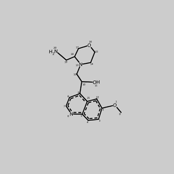 COc1ccc2nccc(C(O)CN3CCOCC3CN)c2c1